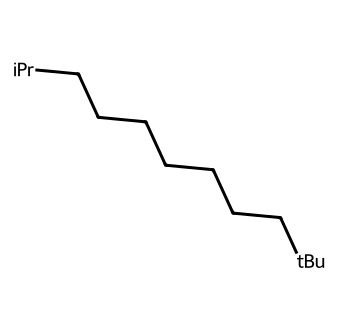 CC(C)CCCCCCCC(C)(C)C